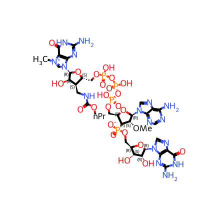 CCCOC(=O)NC[C@H]1[C@@H](O)[C@H](n2c[n+](C)c3c(=O)[nH]c(N)nc32)O[C@@H]1COP(=O)(O)OP(=O)(O)OP(=O)(O)OC[C@H]1O[C@@H](n2cnc3c(N)ncnc32)[C@H](OC)[C@@H]1P(=O)([O-])OC[C@H]1O[C@@H](n2cnc3c(=O)[nH]c(N)nc32)[C@H](O)[C@@H]1O